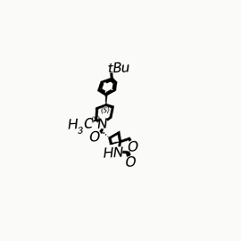 C[C@H]1C[C@@H](c2ccc(C(C)(C)C)cc2)CCN1C(=O)[C@H]1C[C@]2(COC(=O)N2)C1